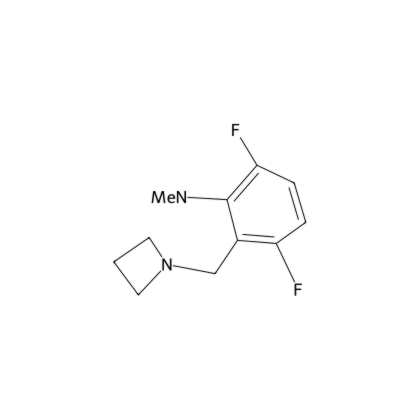 CNc1c(F)ccc(F)c1CN1CCC1